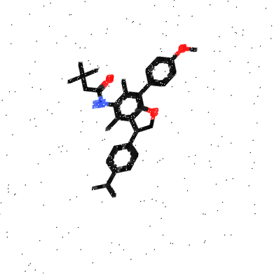 COc1ccc(-c2c(C)c(NC(=O)CC(C)(C)C)c(C)c3c2OCC3c2ccc(C(C)C)cc2)cc1